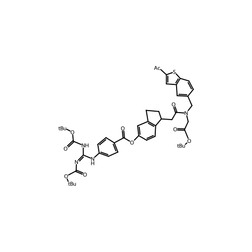 CC(=O)c1cc2cc(CN(CC(=O)OC(C)(C)C)C(=O)CC3CCc4cc(OC(=O)c5ccc(N/C(=N\C(=O)OC(C)(C)C)NC(=O)OC(C)(C)C)cc5)ccc43)ccc2s1